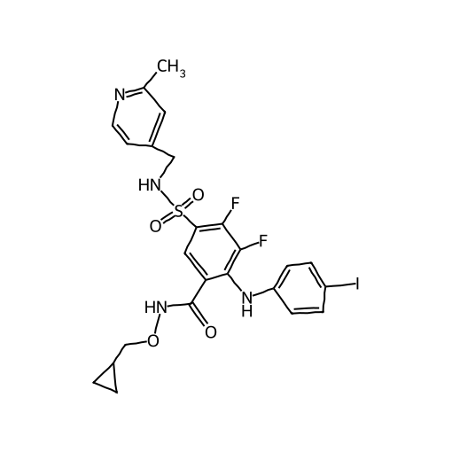 Cc1cc(CNS(=O)(=O)c2cc(C(=O)NOCC3CC3)c(Nc3ccc(I)cc3)c(F)c2F)ccn1